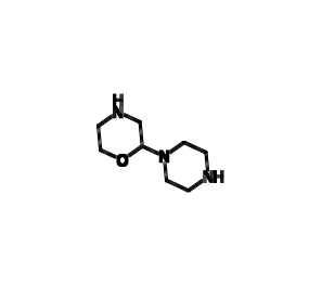 C1CN(C2CNCCO2)CCN1